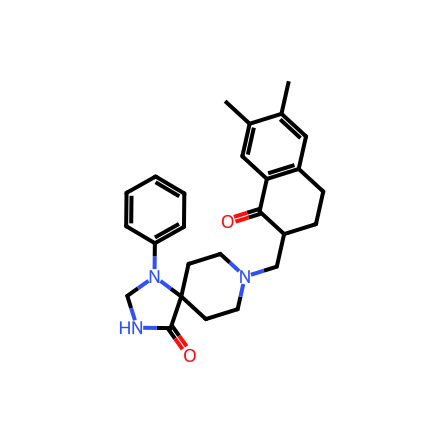 Cc1cc2c(cc1C)C(=O)C(CN1CCC3(CC1)C(=O)NCN3c1ccccc1)CC2